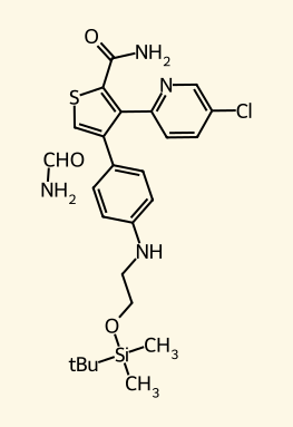 CC(C)(C)[Si](C)(C)OCCNc1ccc(-c2csc(C(N)=O)c2-c2ccc(Cl)cn2)cc1.NC=O